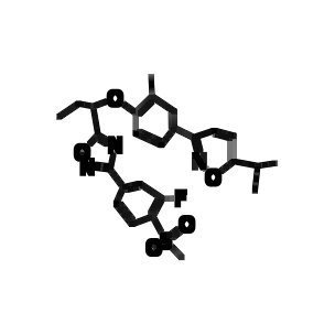 CCC(Oc1ccc(C2=NOC(C(C)C)=C=C2)cc1C)c1nc(-c2ccc(S(C)(=O)=O)c(F)c2)no1